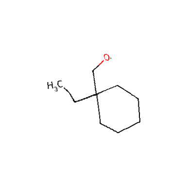 CCC1(C[O])CCCCC1